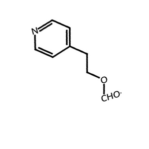 O=[C]OCCc1ccncc1